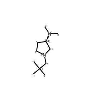 CN(C)[C@@H]1CCN(CC(C)(C)C)C1